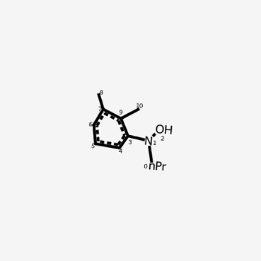 CCCN(O)c1cccc(C)c1C